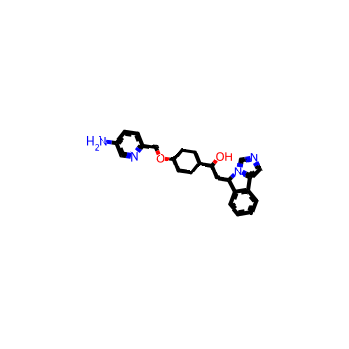 Nc1ccc(COC2CCC(C(O)CC3c4ccccc4-c4cncn43)CC2)nc1